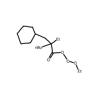 CCCCC(CC)(CC1CCCCC1)C(=O)OOOCC